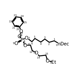 CCCCCCCCCCCCCCCCOP(=O)(OCCOCCOCC)OOc1ccccc1